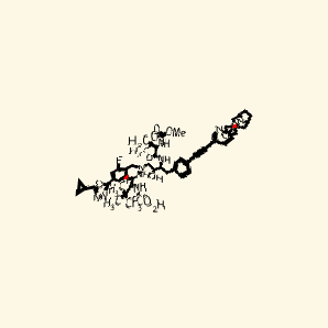 COC(=O)NC(C(=O)NC(Cc1ccc(C#Cc2ccc(N3CC4CCC(C3)N4C3COC3)nc2)cc1)C(O)CN(Cc1c(F)cc(-c2nnc(C3CC3)o2)cc1F)NC(=O)C(NC(=O)O)C(C)(C)C(F)(F)F)C(C)(C)C(F)(F)F